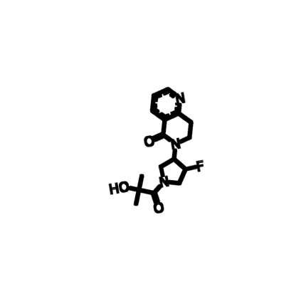 CC(C)(O)C(=O)N1CC(F)C(N2CCc3ncccc3C2=O)C1